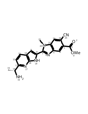 COC(=O)c1cc2nc(-c3cc4ccc([C@@H](C)N)nc4[nH]3)n(C)c2cc1C#N